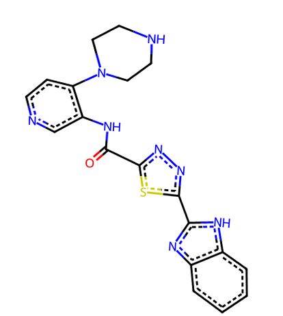 O=C(Nc1cnccc1N1CCNCC1)c1nnc(-c2nc3ccccc3[nH]2)s1